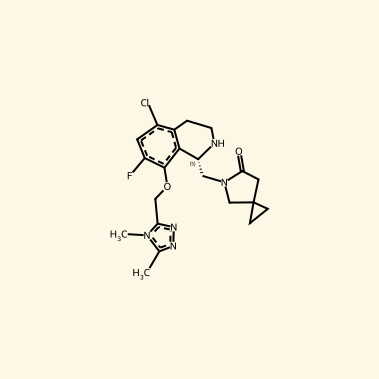 Cc1nnc(COc2c(F)cc(Cl)c3c2[C@@H](CN2CC4(CC4)CC2=O)NCC3)n1C